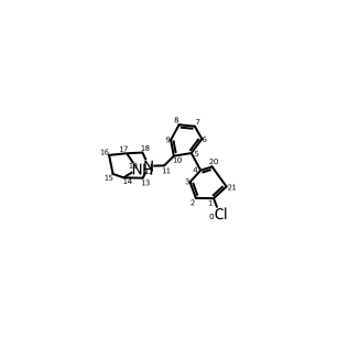 Clc1ccc(-c2ccccc2CN2CC3CCC(C2)N3)cc1